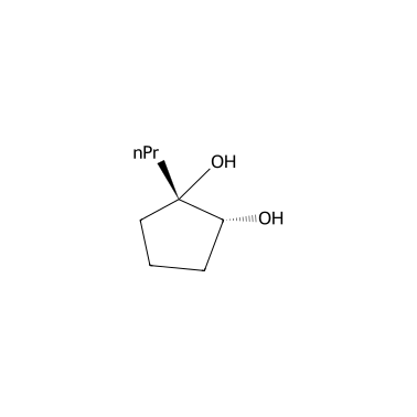 CCC[C@]1(O)CCC[C@H]1O